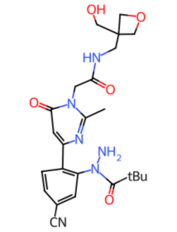 Cc1nc(-c2ccc(C#N)cc2N(N)C(=O)C(C)(C)C)cc(=O)n1CC(=O)NCC1(CO)COC1